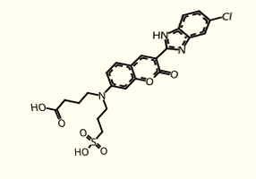 O=C(O)CCCN(CCCS(=O)(=O)O)c1ccc2cc(-c3nc4cc(Cl)ccc4[nH]3)c(=O)oc2c1